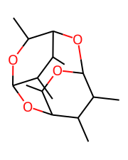 CC1OC2OC3C(C)OC(OC1C(C)C2C)C(C)C3C